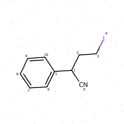 N#CC(CCI)c1ccccc1